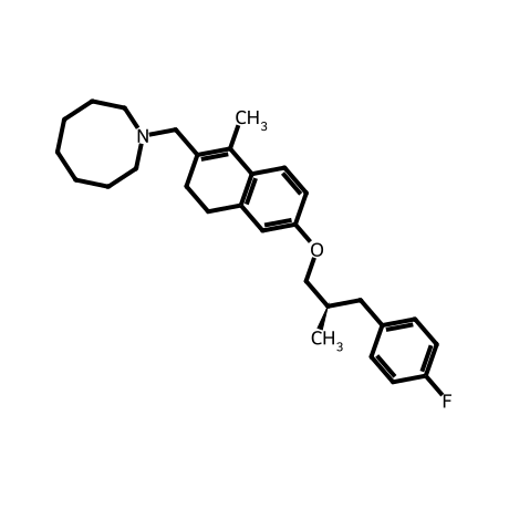 CC1=C(CN2CCCCCCC2)CCc2cc(OC[C@H](C)Cc3ccc(F)cc3)ccc21